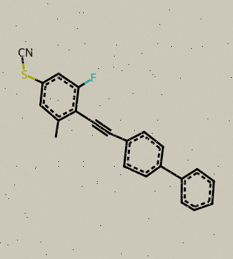 Cc1cc(SC#N)cc(F)c1C#Cc1ccc(-c2ccccc2)cc1